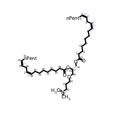 CCCCC/C=C\C/C=C\CCCCCCCC(=O)OC[C@H](COCCCN(C)C)OC(=O)CCCCCCC/C=C\C/C=C\CCCCC